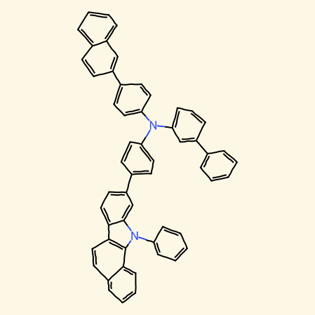 c1ccc(-c2cccc(N(c3ccc(-c4ccc5ccccc5c4)cc3)c3ccc(-c4ccc5c6ccc7ccccc7c6n(-c6ccccc6)c5c4)cc3)c2)cc1